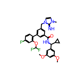 COc1cc(OC)cc(C(NC(=O)c2cc(Cn3ccn(C)c3=N)cc(-c3ccc(F)cc3OC(F)F)c2)C2CC2)c1